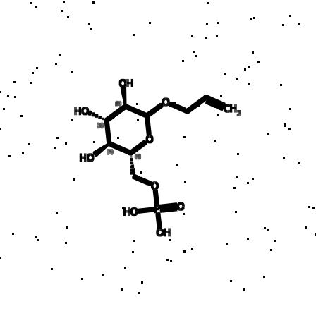 C=CCOC1O[C@H](COP(=O)(O)O)[C@@H](O)[C@H](O)[C@H]1O